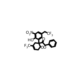 O=C(C(=O)C1(c2cc(CC(F)(F)F)cc([N+](=O)[O-])c2O)CC(C(F)(F)F)=CCC1=O)c1ccccc1